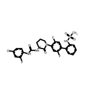 CS(=O)(=O)Nc1ccccc1-c1cc(F)c(N2CCC[C@@H](NC(=O)Nc3ccc(Cl)cc3F)C2=O)cc1F